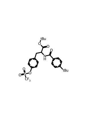 CC(C)(C)OC(=O)C(Cc1ccc(OS(=O)(=O)C(F)(F)F)cc1)NC(=O)c1ccc(C(C)(C)C)cc1